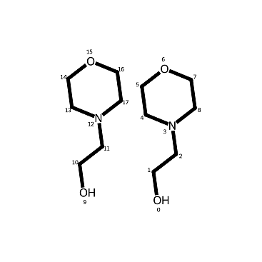 OCCN1CCOCC1.OCCN1CCOCC1